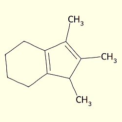 CC1=C(C)C(C)C2=C1CCCC2